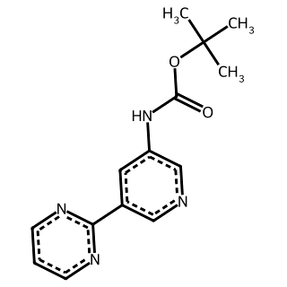 CC(C)(C)OC(=O)Nc1cncc(-c2ncccn2)c1